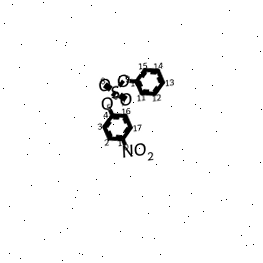 O=[N+]([O-])c1ccc(OS(=O)(=O)Oc2ccccc2)cc1